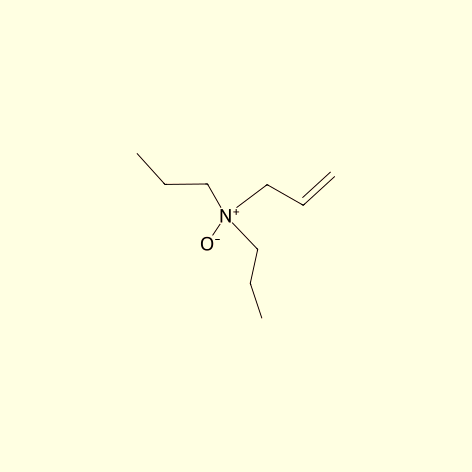 C=CC[N+]([O-])(CCC)CCC